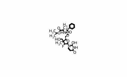 CC(C)OC(=O)[C@H](C)NP(=O)(OC[C@H]1O[C@@H](N2C=CC(=O)NC2O)C(F)C1(C)CO)Oc1ccccc1